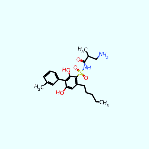 CCCCCc1cc(O)c(-c2cccc(C)c2)c(O)c1S(=O)(=O)NC(=O)C(C)CN